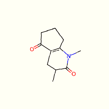 CC1CC2=C(CCCC2=O)N(C)C1=O